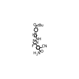 CC(C)(C)C(=O)N1CCC(n2cc(Nc3ncc(F)c(-c4ccc(C(N)=O)c(CC#N)c4)n3)cn2)CC1